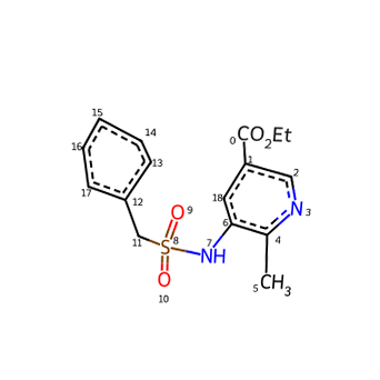 CCOC(=O)c1cnc(C)c(NS(=O)(=O)Cc2ccccc2)c1